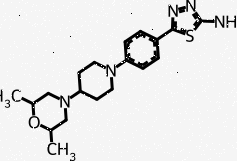 CC1CN(C2CCN(c3ccc(-c4nnc(N)s4)cc3)CC2)CC(C)O1